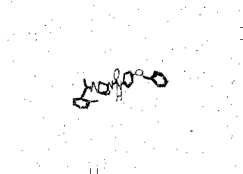 Cc1ccccc1C(C)N1CC2CC1CN2C(=O)Nc1ccc(OCc2ccccc2)cc1